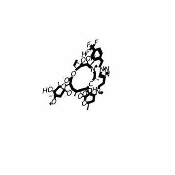 CC[C@H]1OC(=O)[C@H](C)[C@@H](O[C@H]2C[C@@](C)(OC)[C@@H](O)[C@H](C)O2)[C@H](C)[C@@H](O[C@@H]2O[C@H](C)C[C@H](N(C)CCc3cn(CCc4ccc(C(F)(F)F)cc4)nn3)[C@H]2O)[C@](C)(O)C[C@@H](C)CN(C)[C@H](C)[C@@H](O)[C@]1(C)O